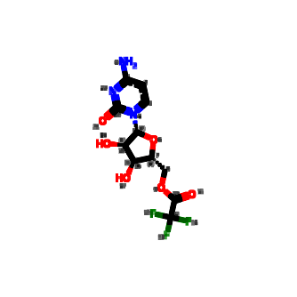 Nc1ccn([C@@H]2O[C@H](COC(=O)C(F)(F)F)[C@@H](O)[C@H]2O)c(=O)n1